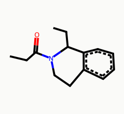 CCC(=O)N1CCc2ccccc2C1CC